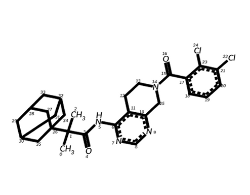 CC(C)(C(=O)Nc1ncnc2c1CCN(C(=O)c1cccc(Cl)c1Cl)C2)C12CC3CC(CC(C3)C1)C2